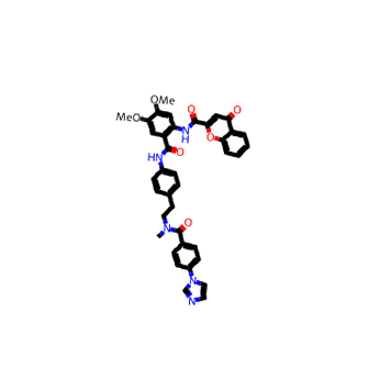 COc1cc(NC(=O)c2cc(=O)c3ccccc3o2)c(C(=O)Nc2ccc(CCN(C)C(=O)c3ccc(-n4ccnc4)cc3)cc2)cc1OC